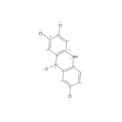 [O-][S+]1c2cc(Cl)ccc2Nc2cc(Cl)c(Cl)cc21